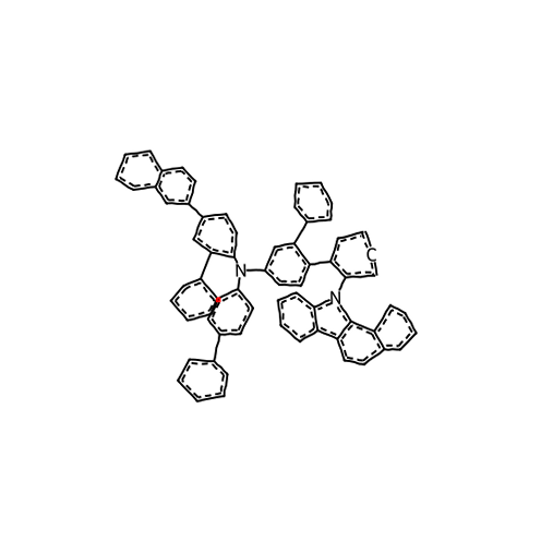 c1ccc(-c2ccc(N(c3ccc(-c4ccccc4-n4c5ccccc5c5ccc6ccccc6c54)c(-c4ccccc4)c3)c3ccc(-c4ccc5ccccc5c4)cc3-c3ccccc3)cc2)cc1